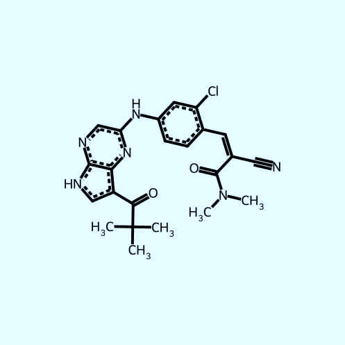 CN(C)C(=O)C(C#N)=Cc1ccc(Nc2cnc3[nH]cc(C(=O)C(C)(C)C)c3n2)cc1Cl